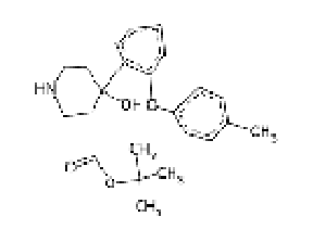 CC(C)(C)OC=O.Cc1ccc(Oc2ccccc2C2(O)CCNCC2)cc1